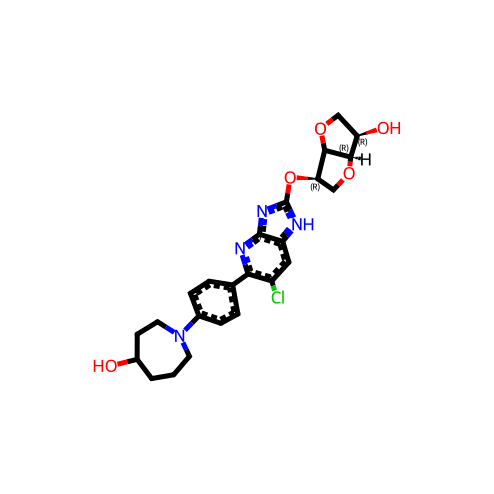 OC1CCCN(c2ccc(-c3nc4nc(O[C@@H]5CO[C@H]6C5OC[C@H]6O)[nH]c4cc3Cl)cc2)CC1